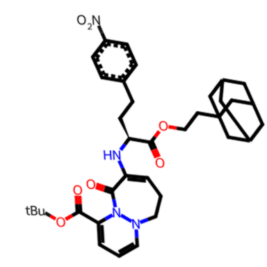 CC(C)(C)OC(=O)C1=CC=CN2CCC=C(N[C@@H](CCc3ccc([N+](=O)[O-])cc3)C(=O)OCCC34CC5CC(CC(C5)C3)C4)C(=O)N12